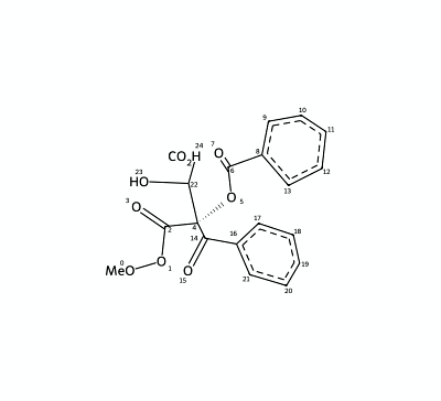 COOC(=O)[C@](OC(=O)c1ccccc1)(C(=O)c1ccccc1)C(O)C(=O)O